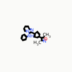 Cc1noc(C)c1-c1ccc(-c2nc3ccccn3c2Nc2ccccc2)cc1